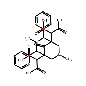 CN1CC2(C(C(=O)O)C(=O)O)C(=O)C(C(C(=O)O)C(=O)O)(C1)C(c1ccccn1)N(C)C2c1ccccn1